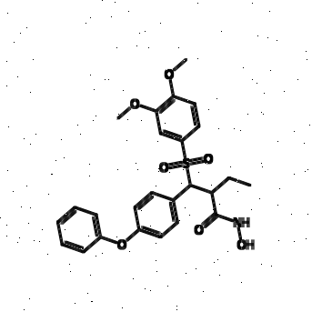 CCC(C(=O)NO)C(c1ccc(Oc2ccccc2)cc1)S(=O)(=O)c1ccc(OC)c(OC)c1